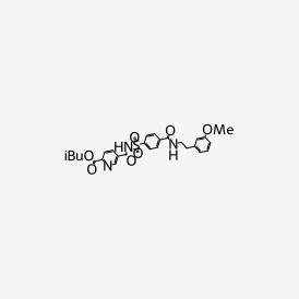 COc1cccc(CCNC(=O)c2ccc(S(=O)(=O)NC(=O)c3ccc(C(=O)OCC(C)C)nc3)cc2)c1